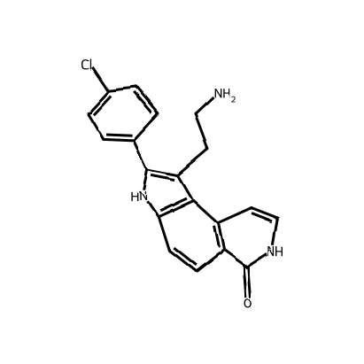 NCCc1c(-c2ccc(Cl)cc2)[nH]c2ccc3c(=O)[nH]ccc3c12